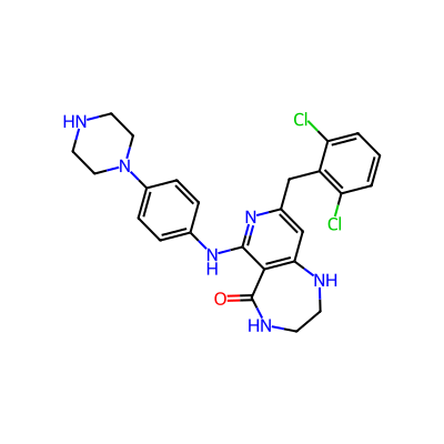 O=C1NCCNc2cc(Cc3c(Cl)cccc3Cl)nc(Nc3ccc(N4CCNCC4)cc3)c21